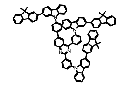 CC1(C)c2ccccc2-c2ccc(-c3ccc4c5ccccc5n(-c5ccc(-c6ccc7nc(-c8cccc(-n9c%10ccccc%10c%10ccc(-c%11ccc%12c(c%11)C(C)(C)c%11ccccc%11-%12)cc%109)c8)nc(-c8cccc(-n9c%10ccccc%10c%10ccc(-c%11ccc%12c(c%11)C(C)(C)c%11ccccc%11-%12)cc%109)c8)c7c6)cc5)c4c3)cc21